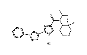 CC(C)N(C(=O)c1csc(-c2cnn(-c3ccccc3)c2)n1)C1CCNCC1(F)F.Cl